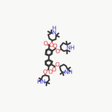 CC1(C)CCC(OC(=O)c2ccc(-c3ccc(C(=O)OC4CCC(C)(C)NC(C)(C)C4)c(C(=O)OC4CCC(C)(C)NC(C)(C)C4)c3)cc2C(=O)OC2CCC(C)(C)NC(C)(C)C2)CC(C)(C)N1